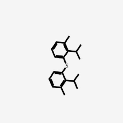 Cc1cccc(Sc2cccc(C)c2C(C)C)c1C(C)C